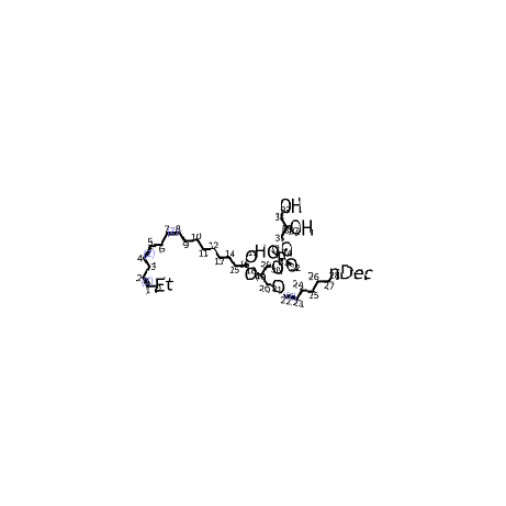 CC/C=C\C/C=C\C/C=C\CCCCCCCC(=O)O[C@H](CO/C=C\CCCCCCCCCCCCCC)COP(=O)(O)OC[C@@H](O)CO